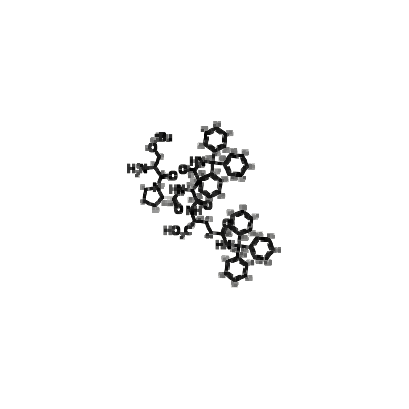 CC(C)(C)OC[C@H](N)C(=O)N1CCC[C@H]1C(=O)N[C@@H](CC(=O)NC(c1ccccc1)(c1ccccc1)c1ccccc1)C(=O)N[C@@H](CCC(=O)NC(c1ccccc1)(c1ccccc1)c1ccccc1)C(=O)O